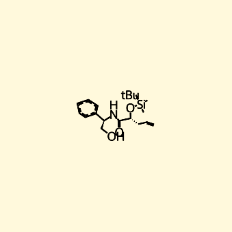 C=CC[C@@H](O[Si](C)(C)C(C)(C)C)C(=O)N[C@@H](CO)c1ccccc1